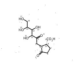 O=C(CN1C(=O)CC[C@H]1C(=O)O)C(O)C(O)C(O)CO